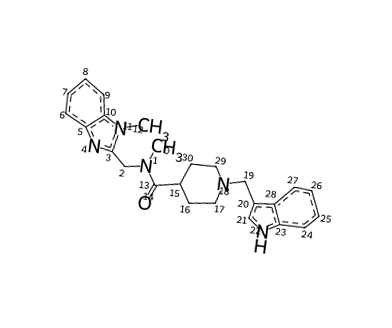 CN(Cc1nc2ccccc2n1C)C(=O)C1CCN(Cc2c[nH]c3ccccc23)CC1